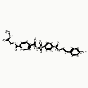 CC(C)OC(=O)CNC(=O)c1ccc(C(=O)NS(=O)(=O)c2ccc(C(=O)NCCc3ccc(F)cc3)cc2)cn1